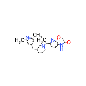 Cc1cc(C[C@H]2CCCN([C@@H](C)c3ccc4c(n3)OCC(=O)N4)C2)cc(C)n1